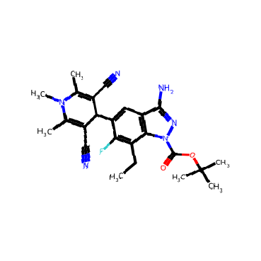 CCc1c(F)c(C2C(C#N)=C(C)N(C)C(C)=C2C#N)cc2c(N)nn(C(=O)OC(C)(C)C)c12